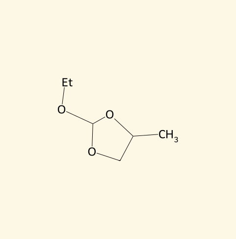 CCOC1OCC(C)O1